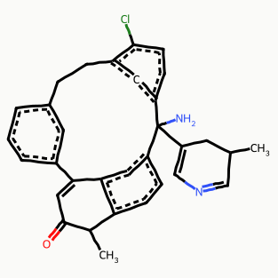 CC1C=NC=C(C2(N)c3ccc(Cl)c(c3)CCc3cccc(c3)C3=CC(=O)C(C)c4ccc2cc43)C1